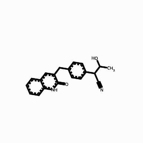 CC(O)C(C#N)c1ccc(Cc2cc3ccccc3[nH]c2=O)cc1